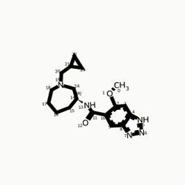 COc1cc2[nH]nnc2cc1C(=O)N[C@@H]1CCCCN(CC2CC2)C1